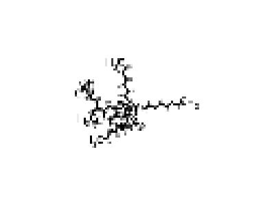 CCCCCCC[CH2][Sn][O][Sn]([CH2]CCCCCCC)([CH2]CCCCCCC)[O]C(CC(CC)C(CC)CCOC(=O)O)C(CC)CCOC(=O)O